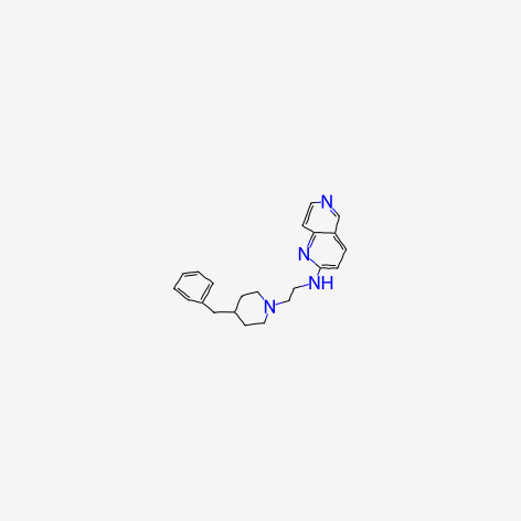 c1ccc(CC2CCN(CCNc3ccc4cnccc4n3)CC2)cc1